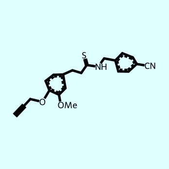 C#CCOc1ccc(CCC(=S)NCc2ccc(C#N)cc2)cc1OC